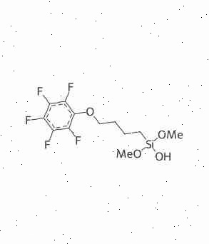 CO[Si](O)(CCCCOc1c(F)c(F)c(F)c(F)c1F)OC